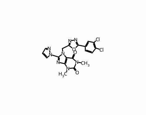 Cn1c(=O)c2c(nc(-n3cccn3)n2Cc2nnc(-c3ccc(Cl)c(Cl)c3)o2)n(C)c1=O